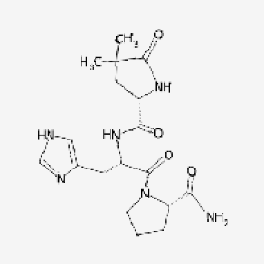 CC1(C)C[C@@H](C(=O)N[C@@H](Cc2c[nH]cn2)C(=O)N2CCC[C@H]2C(N)=O)NC1=O